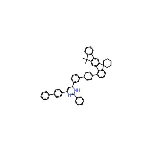 CC1(C)c2ccccc2-c2cc3c(cc21)-c1c(C2=CCC(c4cccc(C5C=C(c6ccc(-c7ccccc7)cc6)N=C(c6ccccc6)N5)c4)C=C2)cccc1C31CCCCC1